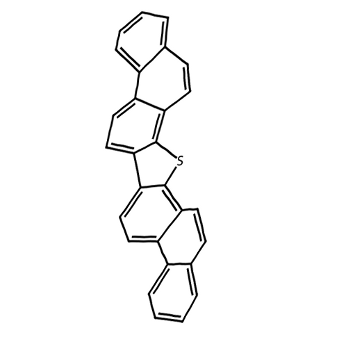 c1ccc2c(c1)ccc1c2ccc2c3ccc4c5ccccc5ccc4c3sc12